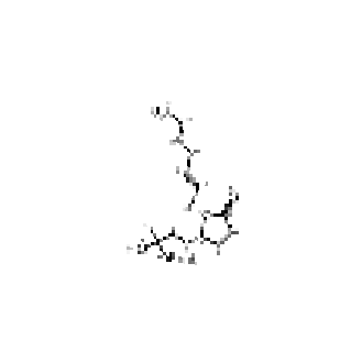 CCCCCC(C)(O)CC[C@H]1CCC(=O)[C@H]1CC=CCCCC(=O)O